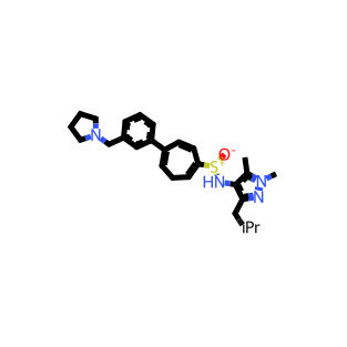 Cc1c(N[S+]([O-])C2=CCC=C(c3cccc(CN4CCCC4)c3)C=C2)c(CC(C)C)nn1C